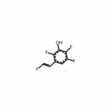 Oc1c(F)c(F)cc(C=CF)c1F